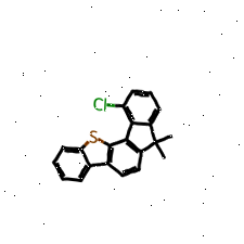 CC1(C)c2cccc(Cl)c2-c2c1ccc1c2sc2ccccc21